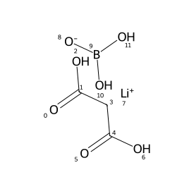 O=C(O)CC(=O)O.[Li+].[O-]B(O)O